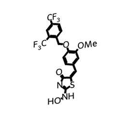 COc1cc(C=C2SC(NO)=NC2=O)ccc1OCc1ccc(C(F)(F)F)cc1C(F)(F)F